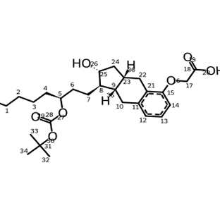 CCCCC[C@@H](CC[C@@H]1[C@H]2Cc3cccc(OCC(=O)O)c3C[C@H]2C[C@H]1O)OC(=O)OC(C)(C)C